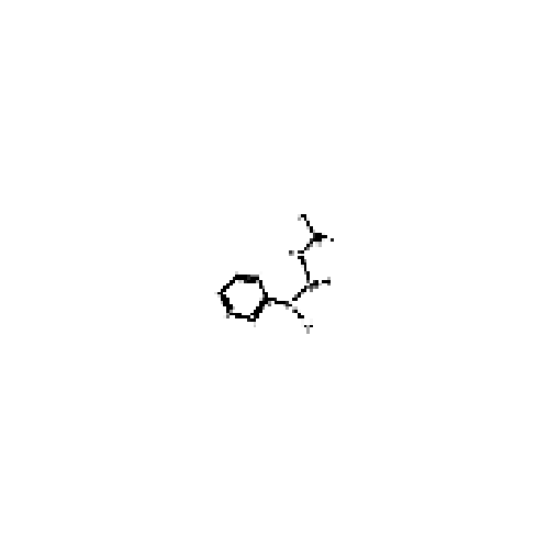 CCN(c1ccccc1)[SiH](C)O[SiH2]C